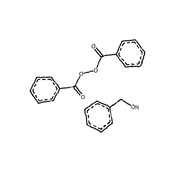 O=C(OOC(=O)c1ccccc1)c1ccccc1.OCc1ccccc1